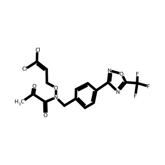 CC(=O)C(=O)N(Cc1ccc(-c2noc(C(F)(F)F)n2)cc1)OCC=C(Cl)Cl